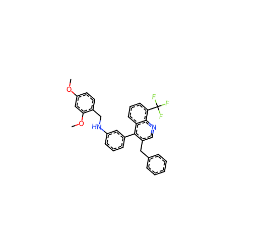 COc1ccc(CNc2cccc(-c3c(Cc4ccccc4)cnc4c(C(F)(F)F)cccc34)c2)c(OC)c1